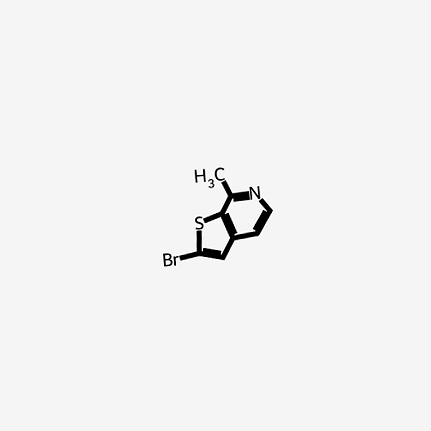 Cc1nccc2cc(Br)sc12